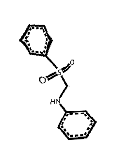 O=S(=O)([CH]Nc1ccccc1)c1ccccc1